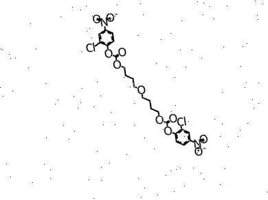 O=C(OCCCCOCCCCOC(=O)Oc1ccc([N+](=O)[O-])cc1Cl)Oc1ccc([N+](=O)[O-])cc1Cl